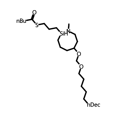 CCCCCCCCCCCCCCCOCOC1CCC[SiH](CCCSC(=O)CCCC)N(C)CC1